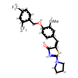 COc1cc(/C=C2/SC(N3CCCC3)=NC2=O)ccc1OCc1ccc(C(F)(F)F)cc1C(F)(F)F